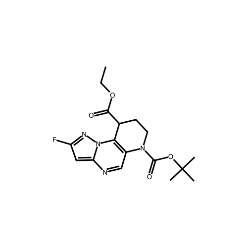 CCOC(=O)C1CCN(C(=O)OC(C)(C)C)c2cnc3cc(F)nn3c21